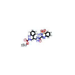 CC(C)(C)OC(=O)NCC(CNC(=O)C1=Nc2ccccc2S(=O)(=O)N1)c1ccccc1